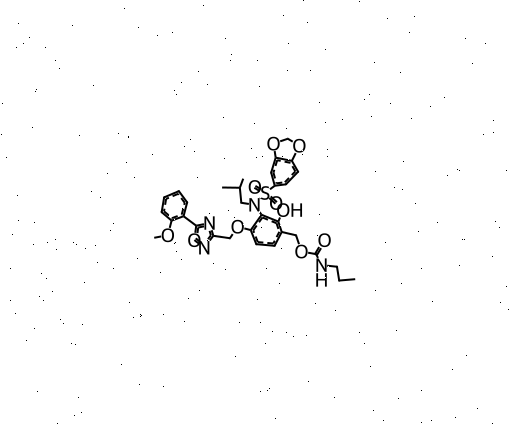 CCCNC(=O)OCc1ccc(OCc2noc(-c3ccccc3OC)n2)c(N(CC(C)C)S(=O)(=O)c2ccc3c(c2)OCO3)c1O